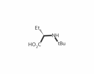 CC[C@H](NC(C)(C)C)C(=O)O